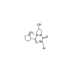 CC(=O)CNC(=O)N1CC(O)CN1C(=O)C1CCCN1C